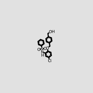 O=S(=O)(Nc1cc(Cl)ccc1OCc1ccc(CO)cc1)c1ccccc1